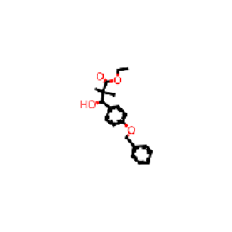 CCOC(=O)C(C)(C)C(O)c1ccc(OCc2ccccc2)cc1